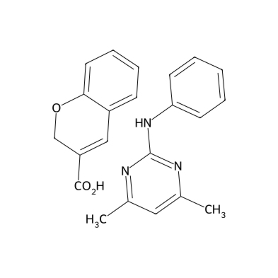 Cc1cc(C)nc(Nc2ccccc2)n1.O=C(O)C1=Cc2ccccc2OC1